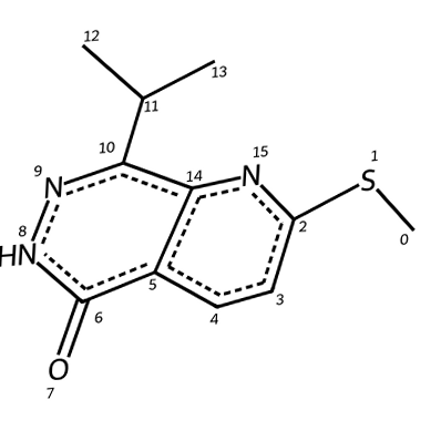 CSc1ccc2c(=O)[nH]nc(C(C)C)c2n1